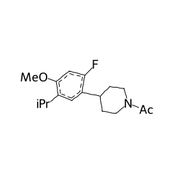 COc1cc(F)c(C2CCN(C(C)=O)CC2)cc1C(C)C